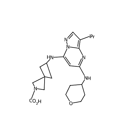 CC(C)c1cnn2c(NC3CC4(C3)CN(C(=O)O)C4)cc(NC3CCOCC3)nc12